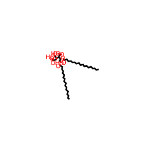 CCCCCCCCCCCCCCCCCC(=O)OCC(OC(=O)CCCCCCCCCCCCCCCCC)C(C(=O)O)C(CC(=O)O)C(=O)O